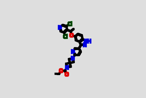 CCOC(=O)N1CC2(C1)CN(c1ccc(-c3n[nH]c4ccc(OC(C)c5c(Cl)cncc5Cl)cc34)cn1)C2